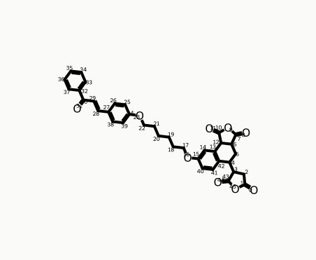 O=C1CC(C2CC3C(=O)OC(=O)C3c3cc(OCCCCCCOc4ccc(/C=C/C(=O)c5ccccc5)cc4)ccc32)C(=O)O1